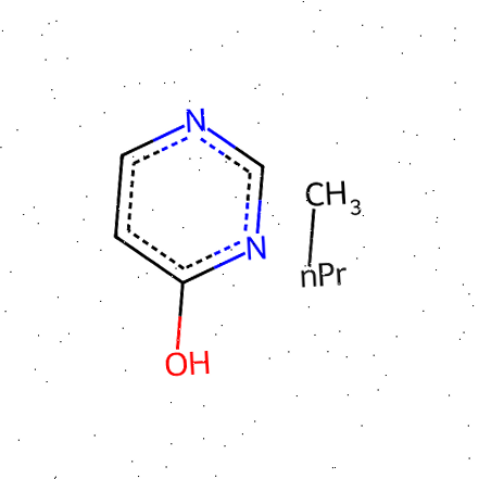 CCCC.Oc1ccncn1